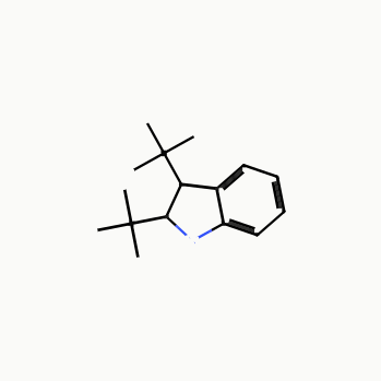 CC(C)(C)C1Nc2ccccc2C1C(C)(C)C